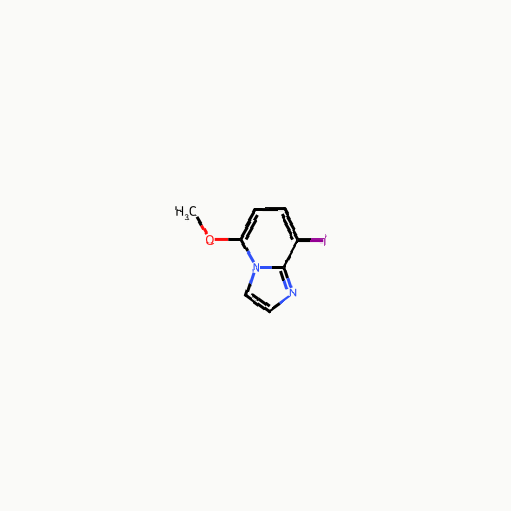 COc1ccc(I)c2nccn12